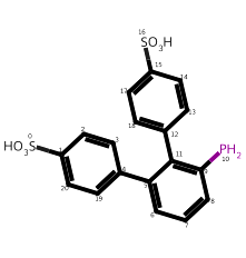 O=S(=O)(O)c1ccc(-c2cccc(P)c2-c2ccc(S(=O)(=O)O)cc2)cc1